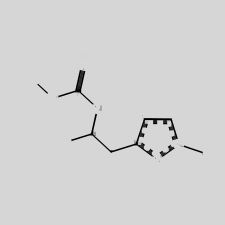 Cn1ccc(CC(NC(=O)OC(C)(C)C)C(=O)O)n1